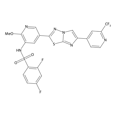 COc1ncc(-c2nn3cc(-c4ccnc(C(F)(F)F)c4)nc3s2)cc1NS(=O)(=O)c1ccc(F)cc1F